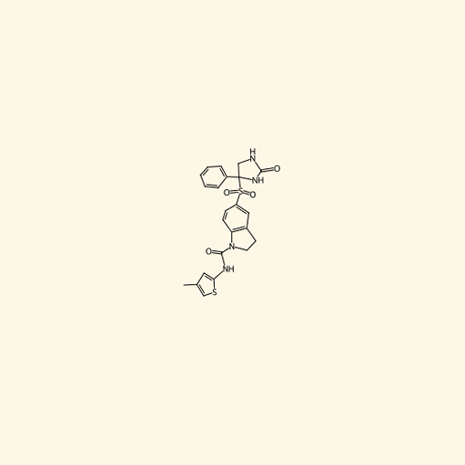 Cc1csc(NC(=O)N2CCc3cc(S(=O)(=O)C4(c5ccccc5)CNC(=O)N4)ccc32)c1